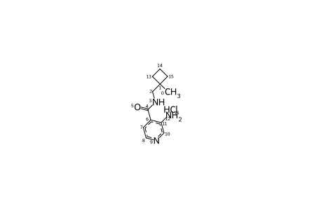 CC1(CNC(=O)c2ccncc2N)CCC1.Cl